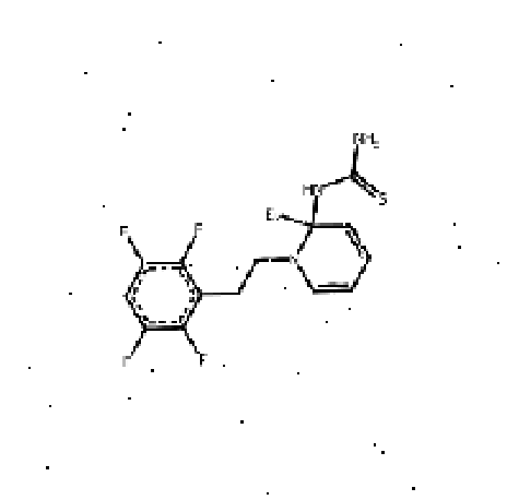 CCC1(NC(N)=S)C=CC=CN1CCc1c(F)c(F)cc(F)c1F